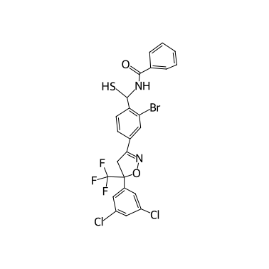 O=C(NC(S)c1ccc(C2=NOC(c3cc(Cl)cc(Cl)c3)(C(F)(F)F)C2)cc1Br)c1ccccc1